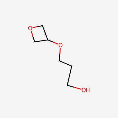 OCCCOC1COC1